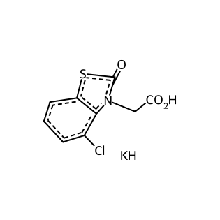 O=C(O)Cn1c(=O)sc2cccc(Cl)c21.[KH]